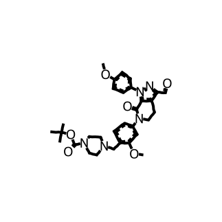 COc1ccc(-n2nc(C=O)c3c2C(=O)N(c2ccc(CN4CCN(C(=O)OC(C)(C)C)CC4)c(OC)c2)CC3)cc1